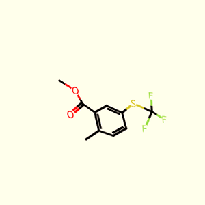 COC(=O)c1cc(SC(F)(F)F)ccc1C